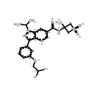 CC(C)n1nc(-c2cccc(OCC(F)F)c2)c2ncc(C(=O)NC3(C)CS(=O)(=O)C3)cc21